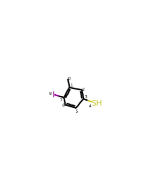 Cc1cc(S)ccc1I